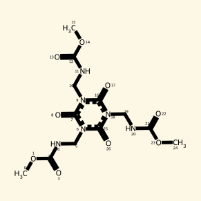 COC(=O)NCn1c(=O)n(CNC(=O)OC)c(=O)n(CNC(=O)OC)c1=O